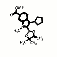 C=C1OB(c2c(C3CCCC3)c3ccc(C(=O)OC)cc3n2C)OC1(C)C